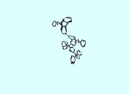 O=P(c1ccccc1)(c1ccccc1)c1ccc(C2(c3ccc4c(c3)c3cc(-c5ccc6c(c5)c5ccccc5n6-c5ccccc5)ccc3n4-c3ccccc3)C3CC4CC(C3)CC2C4)cc1